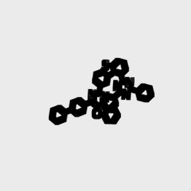 c1ccc(-c2ccc(-c3nc(-c4ccc5sc6cccc(-c7nc(-c8ccccc8)nc(-c8ccccc8)n7)c6c5c4)nc4c3oc3ccccc34)cc2)cc1